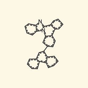 c1ccc2c(c1)cc(-c1ccc3c4ccccc4c4nc5ccccc5n4c3c1)c1ccccc12